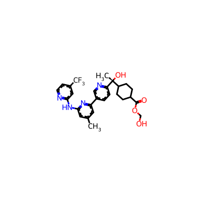 Cc1cc(Nc2cc(C(F)(F)F)ccn2)nc(-c2ccc([C@](C)(O)C3CCC(C(=O)OCO)CC3)nc2)c1